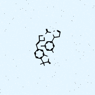 O=C(N1CC(=Cc2ccc3c(c2)NC(=O)C3(F)F)C1)N1N=CCC1c1cc(F)cc(F)c1